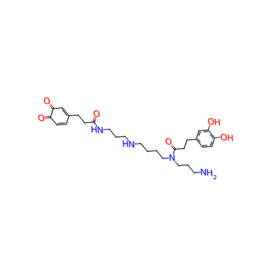 NCCCN(CCCCNCCCNC(=O)CCC1=CC(=O)C(=O)C=C1)C(=O)CCc1ccc(O)c(O)c1